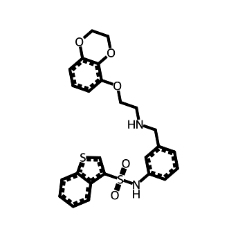 O=S(=O)(Nc1cccc(CNCCOc2cccc3c2OCCO3)c1)c1csc2ccccc12